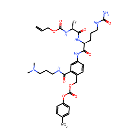 C=CCOC(=O)N[C@H](C(=O)N[C@@H](CCCNC(N)=O)C(=O)Nc1ccc(COC(=O)Oc2ccc([N+](=O)[O-])cc2)c(C(=O)NCCCN(C)C)c1)C(C)C